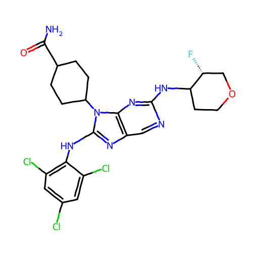 NC(=O)C1CCC(n2c(Nc3c(Cl)cc(Cl)cc3Cl)nc3cnc(NC4CCOC[C@H]4F)nc32)CC1